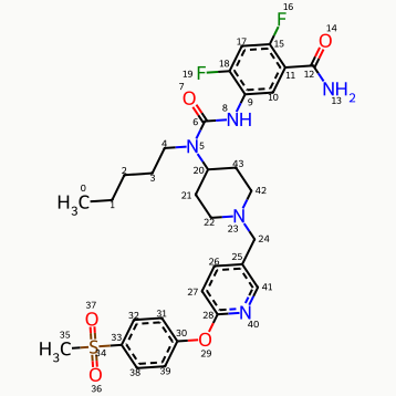 CCCCCN(C(=O)Nc1cc(C(N)=O)c(F)cc1F)C1CCN(Cc2ccc(Oc3ccc(S(C)(=O)=O)cc3)nc2)CC1